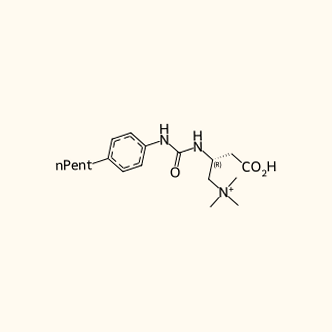 CCCCCc1ccc(NC(=O)N[C@H](CC(=O)O)C[N+](C)(C)C)cc1